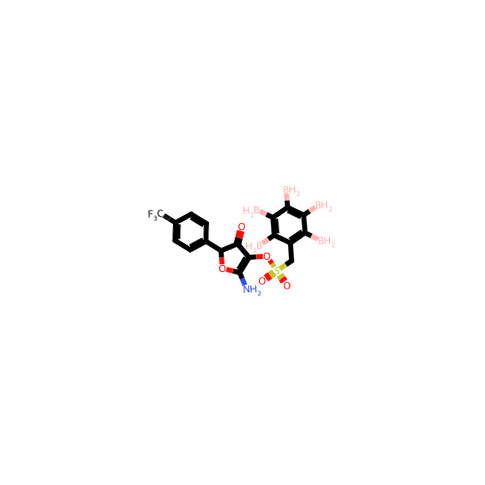 Bc1c(B)c(B)c(CS(=O)(=O)OC2=C(N)OC(c3ccc(C(F)(F)F)cc3)C2=O)c(B)c1B